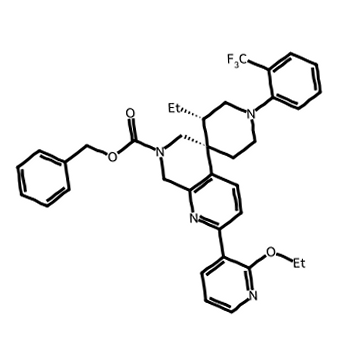 CCOc1ncccc1-c1ccc2c(n1)CN(C(=O)OCc1ccccc1)C[C@]21CCN(c2ccccc2C(F)(F)F)C[C@H]1CC